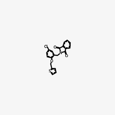 O=C1c2ccccc2C(=O)N1Cc1cc(Cl)ccc1OCc1cccs1